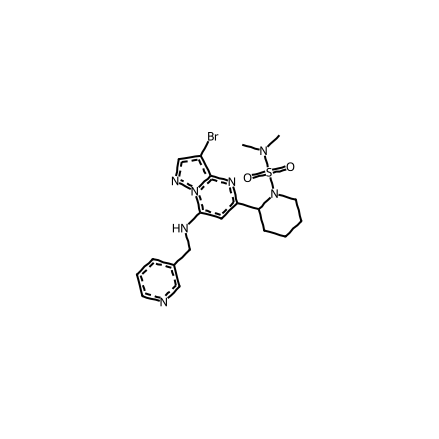 CN(C)S(=O)(=O)N1CCCCC1c1cc(NCc2cccnc2)n2ncc(Br)c2n1